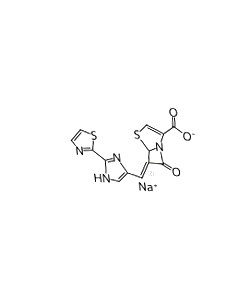 O=C([O-])C1=CSC2/C(=C\c3c[nH]c(-c4nccs4)n3)C(=O)N12.[Na+]